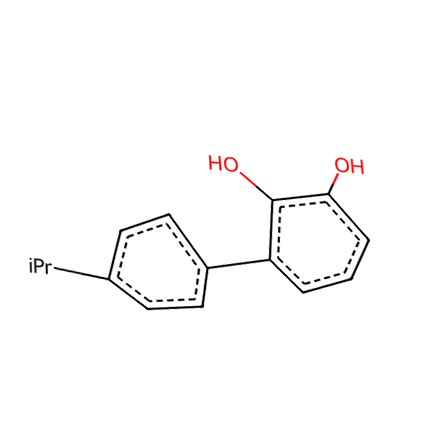 CC(C)c1ccc(-c2cccc(O)c2O)cc1